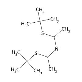 CC([N]C(C)SC(C)(C)C)SC(C)(C)C